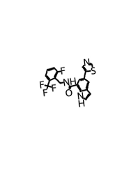 O=C(NCc1c(F)cccc1C(F)(F)F)c1cc(-c2cncs2)cc2cc[nH]c12